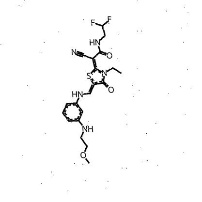 CCn1c(=C(C#N)C(=O)NCC(F)F)sc(=CNc2cccc(NCCOC)c2)c1=O